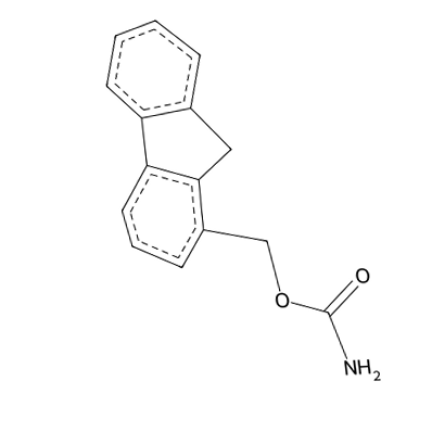 NC(=O)OCc1cccc2c1Cc1ccccc1-2